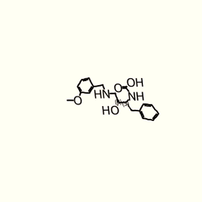 COc1cccc(CNC[C@@H](O)[C@H](Cc2ccccc2)NC(=O)O)c1